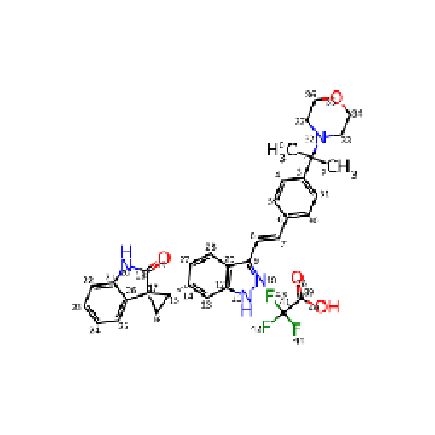 CC(C)(c1ccc(C=Cc2n[nH]c3cc([C@@H]4C[C@@]45C(=O)Nc4ccccc45)ccc23)cc1)N1CCOCC1.O=C(O)C(F)(F)F